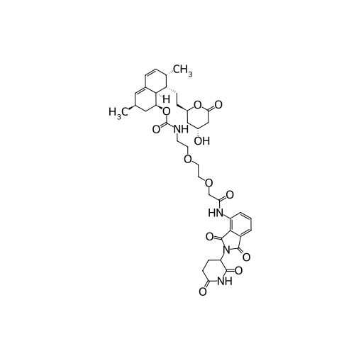 C[C@H]1C=C2C=C[C@H](C)[C@H](CC[C@@H]3C[C@@H](O)CC(=O)O3)[C@H]2[C@@H](OC(=O)NCCOCCOCC(=O)Nc2cccc3c2C(=O)N(C2CCC(=O)NC2=O)C3=O)C1